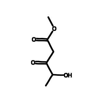 COC(=O)CC(=O)C(C)O